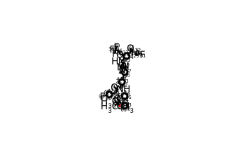 CC(C)(C)[Si](OC[C@@H](C(=O)Nc1ccc(-c2ccc3nc(Nc4ccc(C(=O)N5CC(F)C5)cc4OCC(F)(F)F)nn3c2)cc1)c1ccc(F)cc1)(c1ccccc1)c1ccccc1